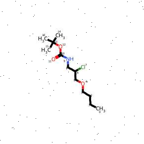 CCCCOCC(Cl)CNC(=O)OC(C)(C)C